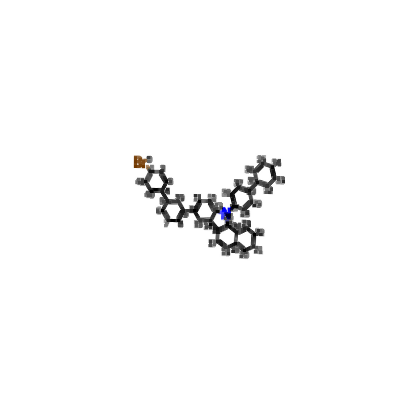 Brc1ccc(-c2cccc(-c3ccc4c(c3)c3ccc5ccccc5c3n4-c3ccc(-c4ccccc4)cc3)c2)cc1